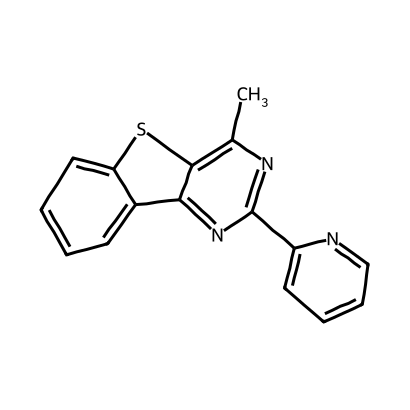 Cc1nc(-c2ccccn2)nc2c1sc1ccccc12